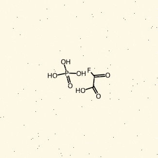 O=C(O)C(=O)F.O=P(O)(O)O